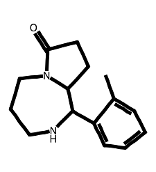 Cc1ccccc1C1NCCCN2C(=O)CCC12